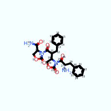 NC(=O)C1COC(=O)N1C(=O)C(Cc1ccccc1)C1COC(=O)N1C(=O)[C@@H](N)Cc1ccccc1